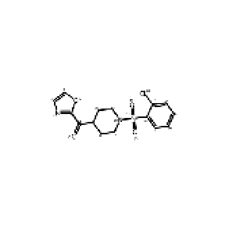 O=C(c1ncco1)C1CCN(S(=O)(=O)c2ccccc2Cl)CC1